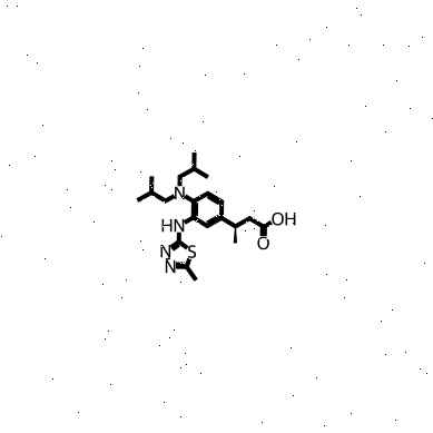 Cc1nnc(Nc2cc([C@H](C)CC(=O)O)ccc2N(CC(C)C)CC(C)C)s1